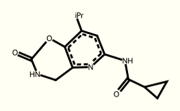 CC(C)c1cc(NC(=O)C2CC2)nc2c1OC(=O)NC2